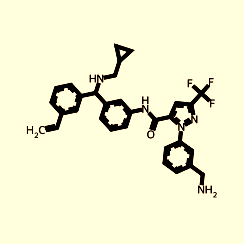 C=Cc1cccc(C(NCC2CC2)c2cccc(NC(=O)c3cc(C(F)(F)F)nn3-c3cccc(CN)c3)c2)c1